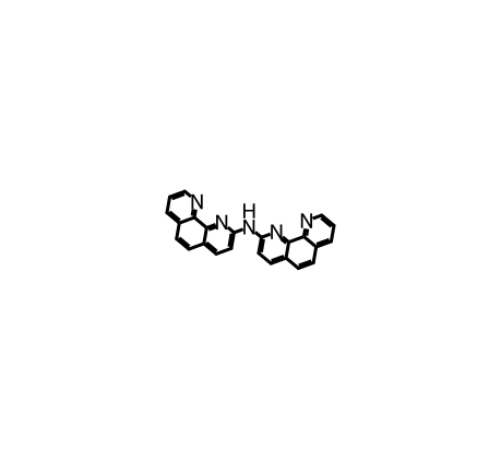 c1cnc2c(c1)ccc1ccc(Nc3ccc4ccc5cccnc5c4n3)nc12